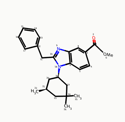 COC(=O)c1ccc2c(c1)nc(Cc1ccccc1)n2[C@@H]1C[C@H](C)CC(C)(C)C1